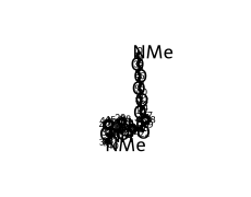 CNCCOCCOCCOCCOCCOc1cccc(C(=O)c2csc([C@@H]3CCCN3C(=O)[C@@H](NC(=O)[C@H](C)NC)C3CCCCC3)n2)c1